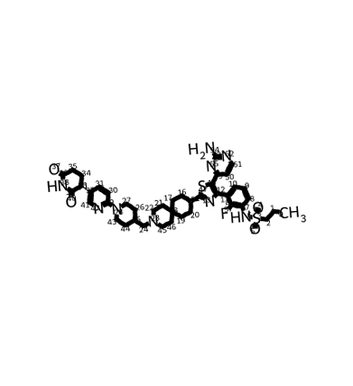 CCCS(=O)(=O)Nc1cccc(-c2nc(C3CCC4(CC3)CCN(CC3CCN(c5ccc([C@H]6CCC(=O)NC6=O)cn5)CC3)CC4)sc2-c2ccnc(N)n2)c1F